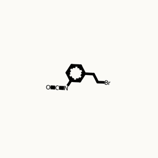 O=C=Nc1cccc(CCBr)c1